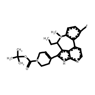 CCC1c2c(C3=CCN(C(=O)OC(C)(C)C)CC3)[nH]c3nccc(c23)-c2cc(F)ccc2N1C